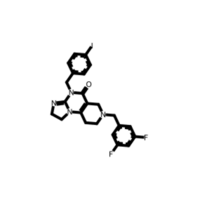 O=C1C2=C(CCN(Cc3cc(F)cc(F)c3)C2)N2CCN=C2N1Cc1ccc(I)cc1